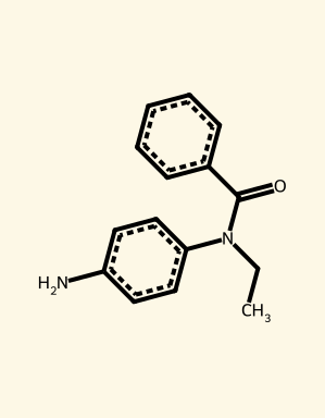 CCN(C(=O)c1ccccc1)c1ccc(N)cc1